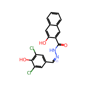 O=C(N/N=C\c1cc(Cl)c(O)c(Cl)c1)c1cc2ccccc2cc1O